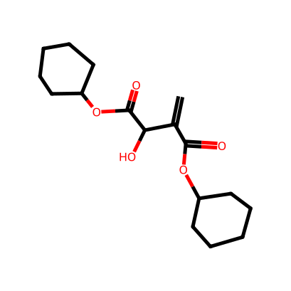 C=C(C(=O)OC1CCCCC1)C(O)C(=O)OC1CCCCC1